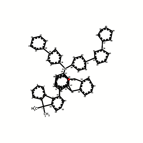 CC1(C)c2ccccc2-c2c(-c3ccc(N(c4ccc(-c5ccccc5)cc4)c4ccc(-c5cccc(-c6ccccc6)c5)cc4)c4c3C3c5ccccc5C4c4ccccc43)cccc21